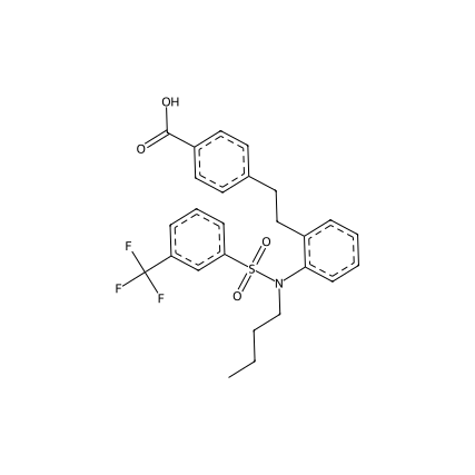 CCCCN(c1ccccc1CCc1ccc(C(=O)O)cc1)S(=O)(=O)c1cccc(C(F)(F)F)c1